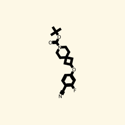 CC(C)(C)OC(=O)N1CCC2(CC1)CC(Oc1ccc(C#N)c(F)c1)C2